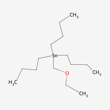 CCC[CH2][Sn]([CH2]CCC)([CH2]CCC)[CH2]OCC